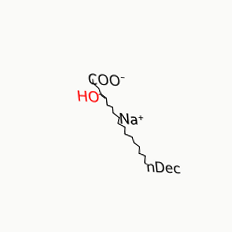 CCCCCCCCCCCCCCCCCCCCCCCC=C(O)CCC(=O)[O-].[Na+]